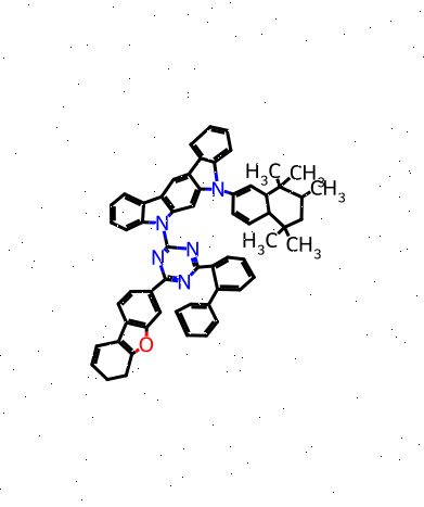 CC1CC(C)(C)C2C=CC(n3c4ccccc4c4cc5c6ccccc6n(-c6nc(-c7ccc8c9c(oc8c7)CCC=C9)nc(-c7ccccc7-c7ccccc7)n6)c5cc43)=CC2C1(C)C